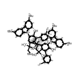 CC(C)(C)CC(C)(C)c1cc(-n2c3ccc(C(C)(C)C)cc3c3cc(C(C)(C)C)ccc32)c(O)c(-c2cccc(F)c2)c1C(O)CC(C)(O)c1c(C(C)(C)CC(C)(C)C)cc(-n2c3ccc(C(C)(C)C)cc3c3cc(C(C)(C)C)ccc32)c(O)c1-c1cccc(F)c1